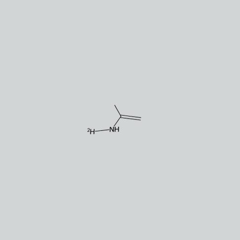 [2H]NC(=C)C